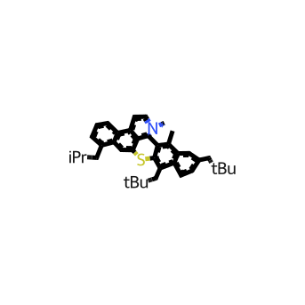 Cc1c2c(c(CC(C)(C)C)c3ccc(CC(C)(C)C)cc13)Sc1cc3c(CC(C)C)cccc3c3cc[n+](C)c-2c13